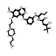 CC/C=C(\NC(=N)/C=C(\O)C(C)(C)C)Nc1cccc(Sc2ncnc3cc(OC)c(OCCN4CCN(CCO)CC4)cc23)c1